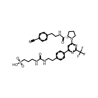 N#Cc1ccc(CCNC(=O)[C@@H]2CCCN2c2cc(-c3ccc(CCNC(=O)NCCCS(=O)(=O)O)cc3)nc(C(F)(F)F)n2)cc1